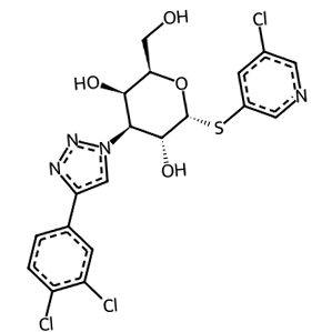 OC[C@H]1O[C@H](Sc2cncc(Cl)c2)[C@H](O)[C@@H](n2cc(-c3ccc(Cl)c(Cl)c3)nn2)[C@H]1O